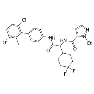 CCn1nccc1C(=O)NC(C(=O)Nc1ccc(-c2c(Cl)cc[n+]([O-])c2C)cc1)C1CCC(F)(F)CC1